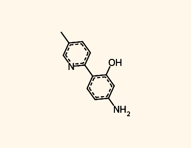 Cc1ccc(-c2ccc(N)cc2O)nc1